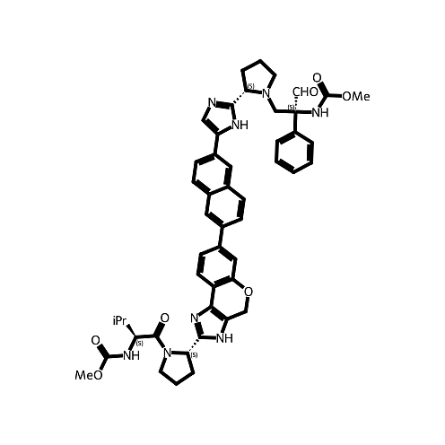 COC(=O)N[C@H](C(=O)N1CCC[C@H]1c1nc2c([nH]1)COc1cc(-c3ccc4cc(-c5cnc([C@@H]6CCCN6C[C@@](C=O)(NC(=O)OC)c6ccccc6)[nH]5)ccc4c3)ccc1-2)C(C)C